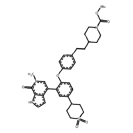 Cn1cc(-c2cc(C3CCS(=O)(=O)CC3)ccc2Oc2ccc(CCC3CCN(C(=O)OC(C)(C)C)CC3)cc2)c2cc[nH]c2c1=O